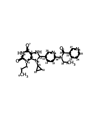 CCCn1c2c(c(=O)[nH]c1=O)NC(c1ccc(N(CC)C(=O)c3cccnc3)nc1)N2C1CC1